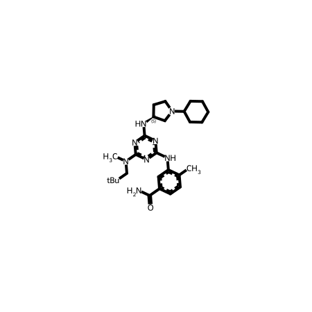 Cc1ccc(C(N)=O)cc1Nc1nc(N[C@H]2CCN(C3CCCCC3)C2)nc(N(C)CC(C)(C)C)n1